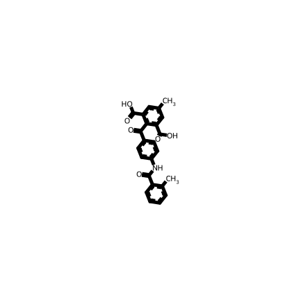 Cc1cc(C(=O)O)c(C(=O)c2ccc(NC(=O)c3ccccc3C)cc2)c(C(=O)O)c1